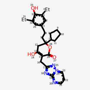 CCc1cc(CCC2(C3CCCC3)CC(O)=C(Cc3nc4ncccn4n3)C(=O)O2)cc(CC)c1O